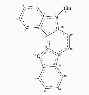 CC(C)(C)n1c2ccccc2c2c3oc4ccccc4c3ccc21